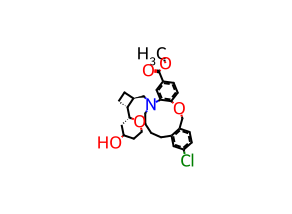 COC(=O)c1ccc2c(c1)N(C[C@@H]1CC[C@H]1[C@H]1C[C@H](O)CCO1)CCCCc1cc(Cl)ccc1CO2